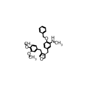 CNc1cc(C[C@H]2COC=C2Cc2ccc(OC)c(OC)c2)ccc1OCc1ccccc1